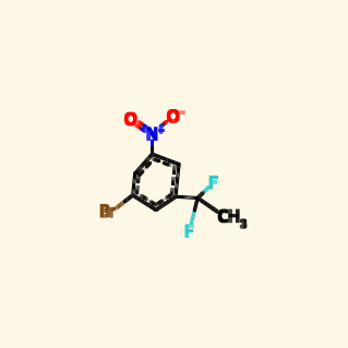 CC(F)(F)c1cc(Br)cc([N+](=O)[O-])c1